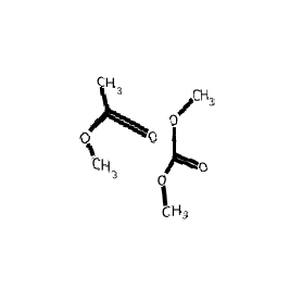 COC(=O)OC.COC(C)=O